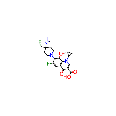 CNC1(CF)CCN(c2c(F)cc3c(=O)c(C(=O)O)cn(C4CC4)c3c2OC)CC1